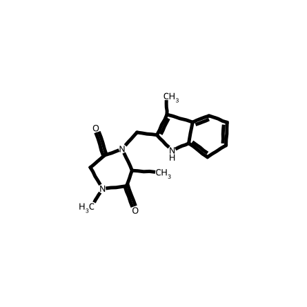 Cc1c(CN2C(=O)CN(C)C(=O)C2C)[nH]c2ccccc12